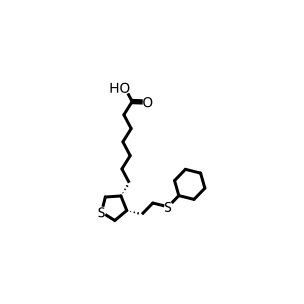 O=C(O)CCCCCC[C@H]1CSC[C@H]1CCSC1CCCCC1